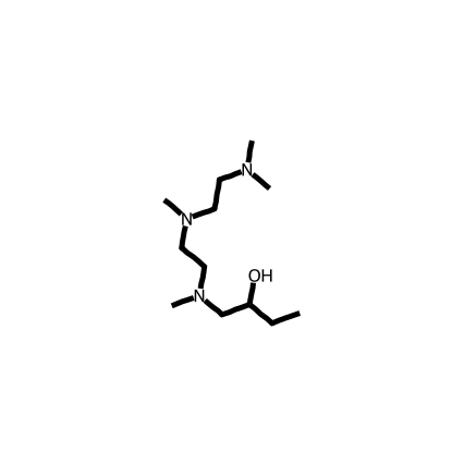 CCC(O)CN(C)CCN(C)CCN(C)C